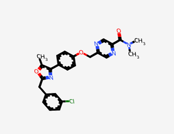 Cc1oc(Cc2cccc(Cl)c2)nc1-c1ccc(OCc2cnc(C(=O)N(C)C)cn2)cc1